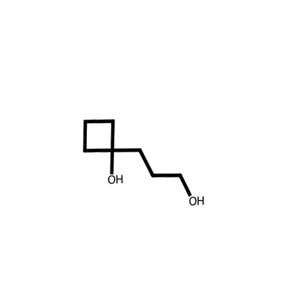 OCCCC1(O)CCC1